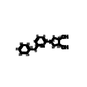 OC1CN(c2cccc(Cc3ccccc3)n2)CC1O